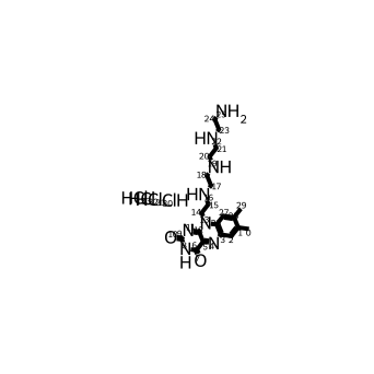 Cc1cc2nc3c(=O)[nH]c(=O)nc-3n(CCNCCNCCNCCN)c2cc1C.Cl.Cl.Cl.Cl